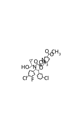 COC(=O)c1ccc(C[C@@]2(C)OC(c3cccc(Cl)c3)C(c3ccc(Cl)c(F)c3)N(C(CO)C3CC3)C2=O)nc1